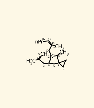 C=C(C)CC1CC2(CC2)C(C)N1C/C(C)=C\CCC